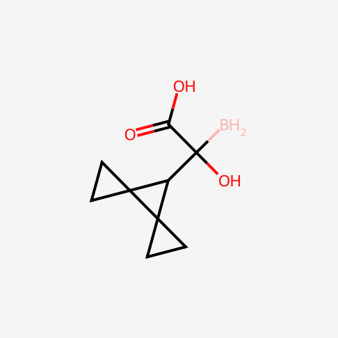 BC(O)(C(=O)O)C1C2(CC2)C12CC2